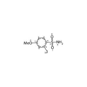 COc1ccc(S(N)(=O)=O)c(I)c1